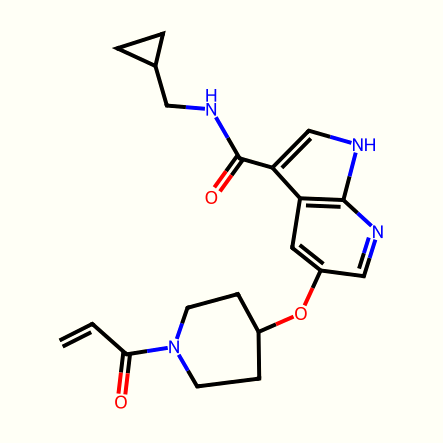 C=CC(=O)N1CCC(Oc2cnc3[nH]cc(C(=O)NCC4CC4)c3c2)CC1